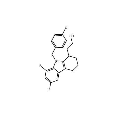 OCCC1CCCc2c1n(Cc1ccc(Cl)cc1)c1c(F)cc(F)cc21